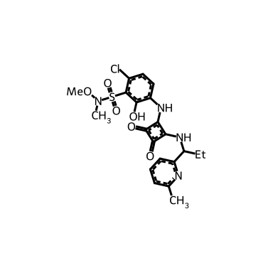 CCC(Nc1c(Nc2ccc(Cl)c(S(=O)(=O)N(C)OC)c2O)c(=O)c1=O)c1cccc(C)n1